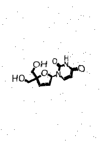 O=c1ccn([C@H]2C=CC(CO)(CO)O2)c(=O)[nH]1